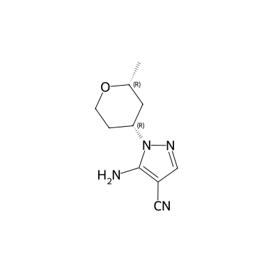 C[C@@H]1C[C@H](n2ncc(C#N)c2N)CCO1